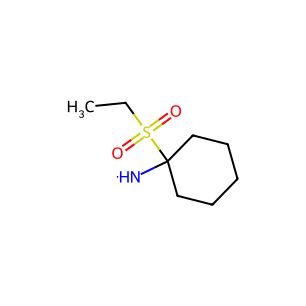 CCS(=O)(=O)C1([NH])CCCCC1